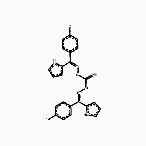 N=C(NN=C(c1ccc(Cl)cc1)c1ccc[nH]1)NN=C(c1ccc(Cl)cc1)c1ccc[nH]1